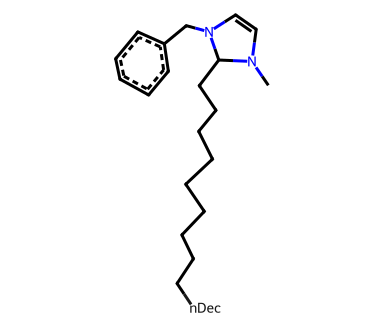 CCCCCCCCCCCCCCCCCCCC1N(C)C=CN1Cc1ccccc1